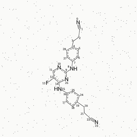 N#CCCc1ccc(Nc2ncc(F)c(Nc3ccc(CCC#N)cc3)n2)cc1